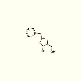 OC[C@@H]1CN(Cc2ccccc2)C[C@H]1O